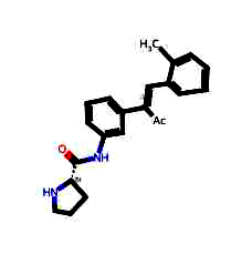 CC(=O)/C(=C\c1ccccc1C)c1cccc(NC(=O)[C@@H]2CCCN2)c1